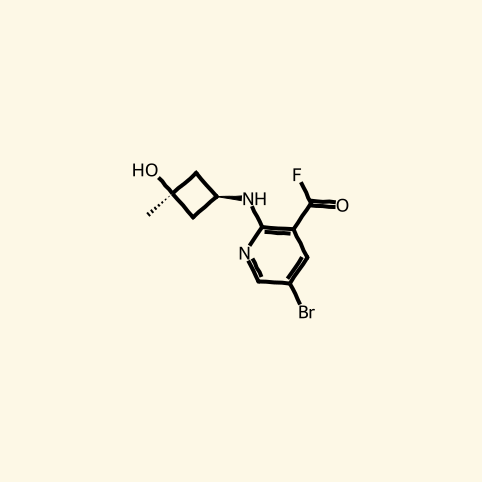 C[C@]1(O)C[C@@H](Nc2ncc(Br)cc2C(=O)F)C1